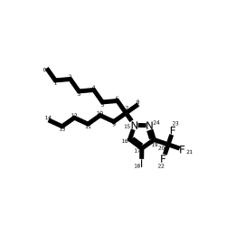 CCCCCCCC(C)(CCCCCC)n1cc(I)c(C(F)(F)F)n1